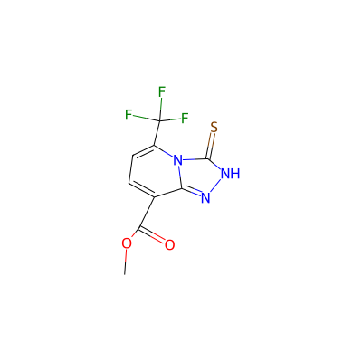 COC(=O)c1ccc(C(F)(F)F)n2c(=S)[nH]nc12